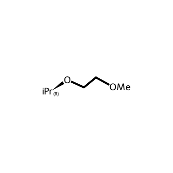 [CH2][C@H](C)OCCOC